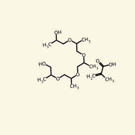 C=C(C)C(=O)O.CC(O)COC(C)COC(C)COC(C)COC(C)CO